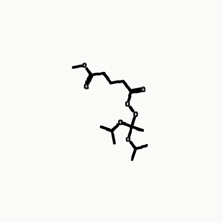 COC(=O)CCCC(=O)OOC(C)(OC(C)C)OC(C)C